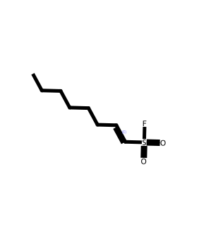 CCCCCC/C=C/S(=O)(=O)F